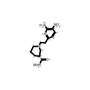 CNC(=O)[C@@H]1CCCN(CCc2ccc([N+](=O)[O-])c(N)n2)C1